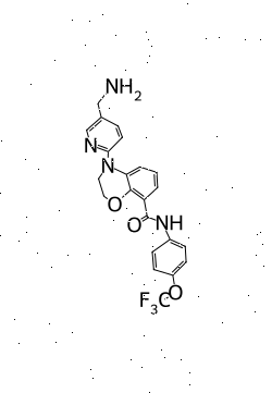 NCc1ccc(N2CCOc3c(C(=O)Nc4ccc(OC(F)(F)F)cc4)cccc32)nc1